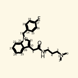 CN(C)CCCNC(=O)Cc1cn(Cc2ccc(F)cc2)c2ccccc12